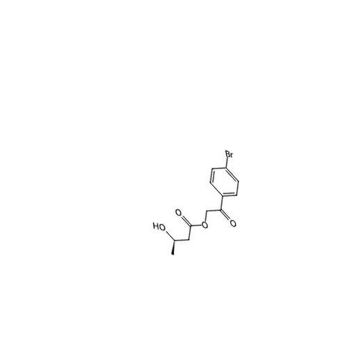 C[C@@H](O)CC(=O)OCC(=O)c1ccc(Br)cc1